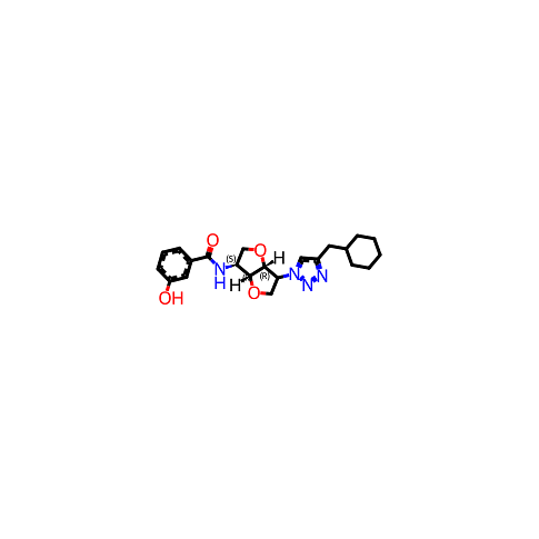 O=C(N[C@H]1CO[C@@H]2C(n3cc(CC4CCCCC4)nn3)CO[C@H]12)c1cccc(O)c1